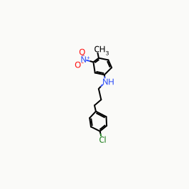 Cc1ccc(NCCCc2ccc(Cl)cc2)cc1[N+](=O)[O-]